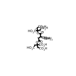 O=C(O)CC(CC(=O)O)(OC(=O)CC(O)C(=O)OC(CC(=O)O)(CC(=O)O)C(=O)O)C(=O)O.[CaH2].[CaH2]